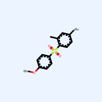 Cc1cc(C(C)(C)C)ccc1S(=O)(=O)c1ccc(OC(C)(C)C)cc1